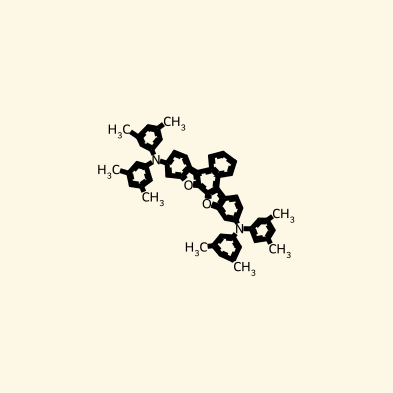 Cc1cc(C)cc(N(c2cc(C)cc(C)c2)c2ccc3c(c2)oc2c4oc5cc(N(c6cc(C)cc(C)c6)c6cc(C)cc(C)c6)ccc5c4c4ccccc4c32)c1